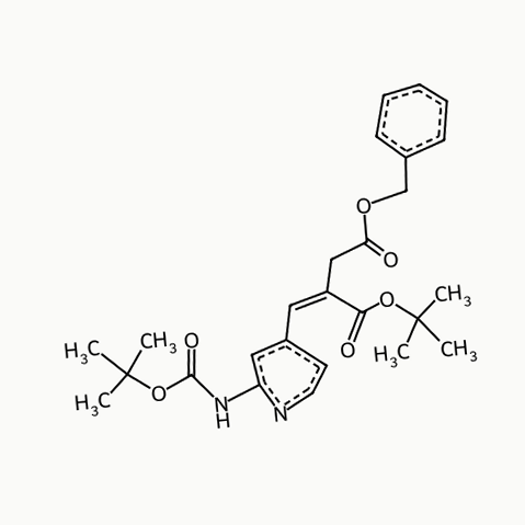 CC(C)(C)OC(=O)Nc1cc(/C=C(/CC(=O)OCc2ccccc2)C(=O)OC(C)(C)C)ccn1